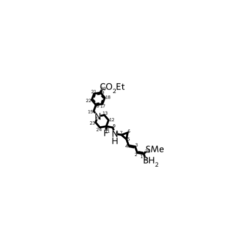 B/C(=C/C=C/C1CC1NCC1(F)CCN(Cc2ccc(C(=O)OCC)cc2)CC1)SC